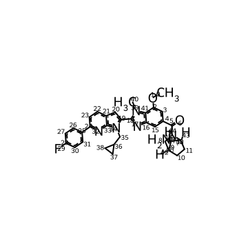 COc1cc(C(=O)N2C[C@H]3CC[C@@H]2[C@@H]3N)cc2nc(-c3cc4ccc(-c5ccc(F)cc5)nc4n3CC3CC3)n(C)c12